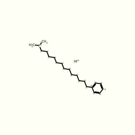 CP(C)CCCCCCCCCCCCCc1ccccc1.I